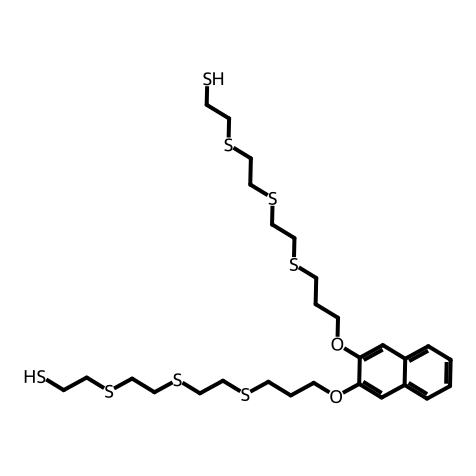 SCCSCCSCCSCCCOc1cc2ccccc2cc1OCCCSCCSCCSCCS